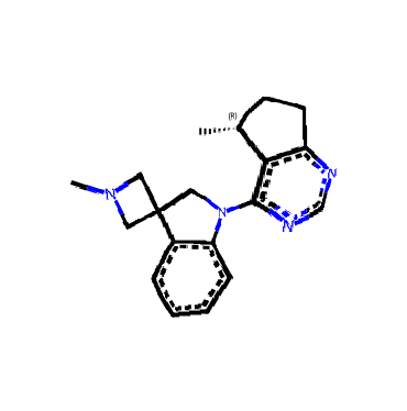 C[C@@H]1CCc2ncnc(N3CC4(CN(C)C4)c4ccccc43)c21